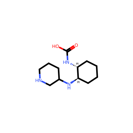 O=C(O)N[C@@H]1CCCC[C@H]1NC1CCCNC1